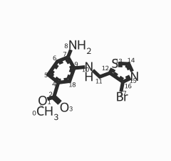 COC(=O)c1ccc(N)c(NCc2scnc2Br)c1